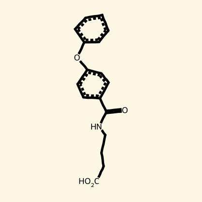 O=C(O)CCCNC(=O)c1ccc(Oc2ccccc2)cc1